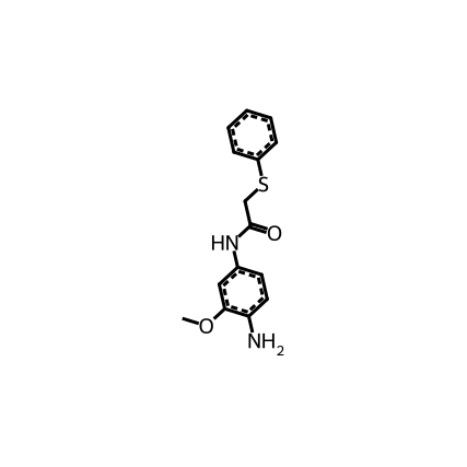 COc1cc(NC(=O)CSc2ccccc2)ccc1N